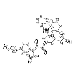 COc1ccc2c(C(=O)C(=O)N(CCCC(=O)O)CC(=O)NC3(C4CCCCC4)CCCCC3)c[nH]c2c1